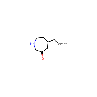 CCCCCCC1CCNCC(=O)C1